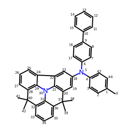 Cc1ccc(N(c2ccc(-c3ccccc3)cc2)c2cc3c4c(c2)c2cccc5c2n4-c2c(cccc2C3(C)C)C5(C)C)cc1